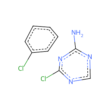 Clc1ccccc1.Nc1ncnc(Cl)n1